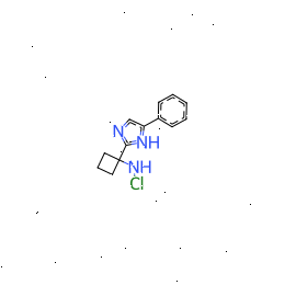 ClNC1(c2ncc(-c3ccccc3)[nH]2)CCC1